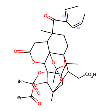 C/C=C\C(=C/C)C(=O)C1(C)CCC23OC4(C)OC25C1CC(=O)OC5C1(OC(=O)C(C)C)C(OC(=O)C(C)C)C2(C)CC1(O4)C3(C)C2CC(=O)O